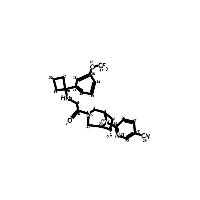 C[C@H]1CC2CN(C(=O)CNC3(c4cccc(OC(F)(F)F)c4)CCC3)CC1N2c1ccc(C#N)cn1